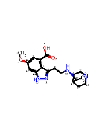 COc1cc(C(=O)O)c2c(CCNC3CN4CCC3CC4)n[nH]c2c1